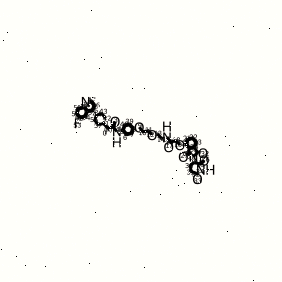 C[C@@H](C(=O)Nc1ccc(OCCOCCNC(=O)COc2cccc3c2C(=O)N(C2CCC(=O)NC2=O)C3=O)cc1)[C@H]1CC[C@@H](c2ccnc3ccc(F)cc32)CC1